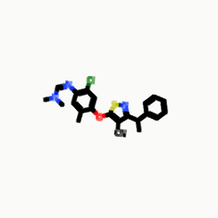 Cc1cc(/N=C\N(C)C)c(Cl)cc1Oc1snc(C(C)c2ccccc2)c1C#N